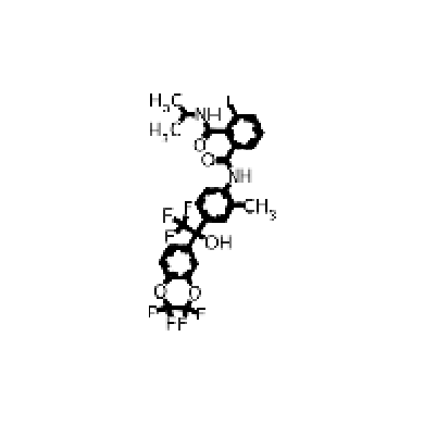 Cc1cc(C(O)(c2ccc3c(c2)OC(F)(F)C(F)(F)O3)C(F)(F)F)ccc1NC(=O)c1cccc(I)c1C(=O)NC(C)C